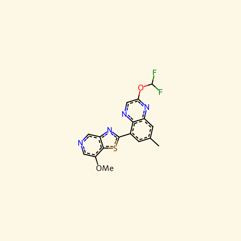 COc1cncc2nc(-c3cc(C)cc4nc(OC(F)F)cnc34)sc12